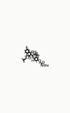 CNC(=O)COc1ccc2c(c1)S(=O)(=O)N=C(c1c(O)c3cc(F)ccc3n(CCC3CC3)c1=O)N2